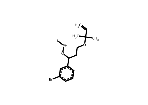 C=CC(C)(C)OCCC(OPI)c1cccc(Br)c1